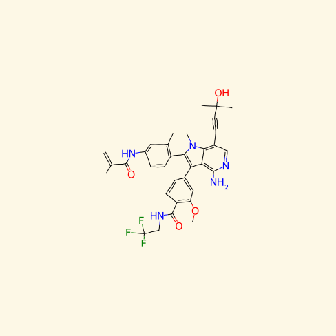 C=C(C)C(=O)Nc1ccc(-c2c(-c3ccc(C(=O)NCC(F)(F)F)c(OC)c3)c3c(N)ncc(C#CC(C)(C)O)c3n2C)c(C)c1